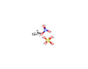 O=S(=O)([O-])[O-].O=[N+]([O-])[O-].[Co+2].[Na+]